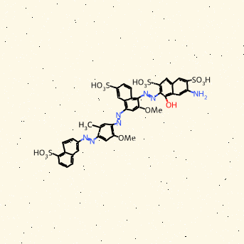 COc1cc(N=Nc2ccc3c(S(=O)(=O)O)cccc3c2)c(C)cc1N=Nc1cc(OC)c(N=Nc2c(S(=O)(=O)O)cc3cc(S(=O)(=O)O)c(N)cc3c2O)c2ccc(S(=O)(=O)O)cc12